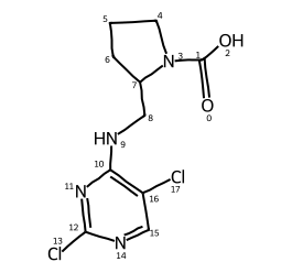 O=C(O)N1CCCC1CNc1nc(Cl)ncc1Cl